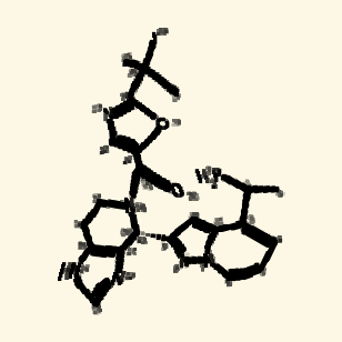 CC(P)c1cccn2nc([C@@H]3c4nc[nH]c4CCN3C(=O)c3cnc(C(C)(C)I)o3)cc12